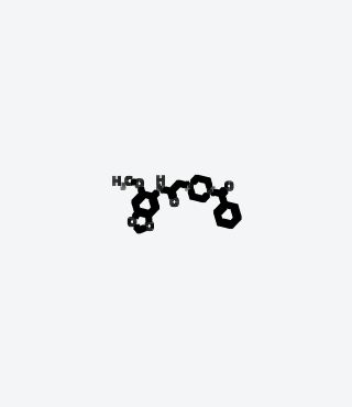 COc1cc2c(cc1NC(=O)CN1CCN(C(=O)c3ccccc3)CC1)OCO2